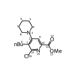 CCCCc1c(N2CCCCC2)cc(C(=O)OC)nc1Cl